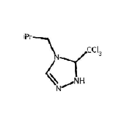 CC(C)CN1C=NNC1C(Cl)(Cl)Cl